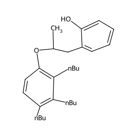 CCCCc1ccc(OC(C)Cc2ccccc2O)c(CCCC)c1CCCC